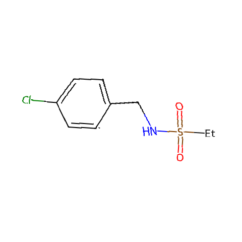 CCS(=O)(=O)NCc1[c]cc(Cl)cc1